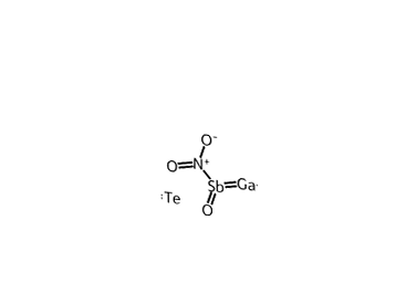 O=[N+]([O-])[Sb](=[O])=[Ga].[Te]